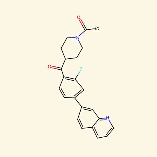 CCC(=O)N1CCC(C(=O)c2ccc(-c3ccc4cccnc4c3)cc2F)CC1